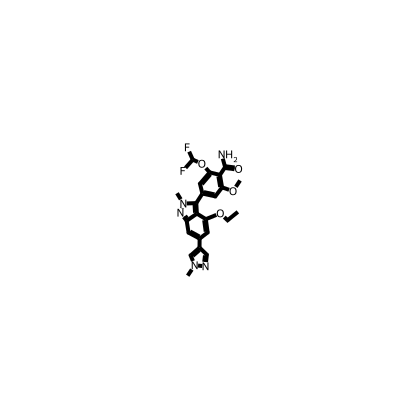 CCOc1cc(-c2cnn(C)c2)cc2nn(C)c(-c3cc(OC)c(C(N)=O)c(OC(F)F)c3)c12